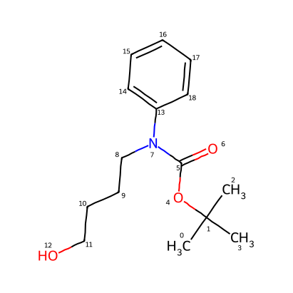 CC(C)(C)OC(=O)N(CCCCO)c1ccccc1